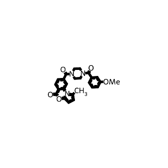 COc1cccc(C(=O)N2CCN(C(=O)c3ccc4c(=O)oc5ccc(C)n5c4c3)CC2)c1